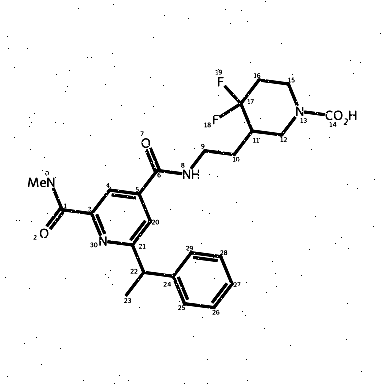 CNC(=O)c1cc(C(=O)NCCC2CN(C(=O)O)CCC2(F)F)cc(C(C)c2ccccc2)n1